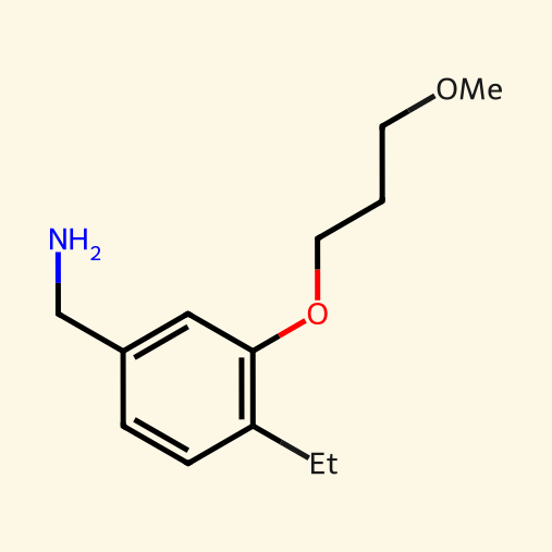 CCc1ccc(CN)cc1OCCCOC